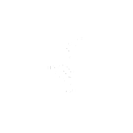 CC1(c2cccc(S(C)(=O)=O)c2)CC1(NS(=O)(=O)C1CC=C(c2cc(C(F)(F)F)on2)S1)C(=O)O